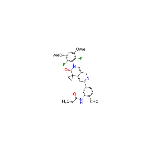 C=CC(=O)Nc1cc(C2=NCC3=CN(c4c(F)c(OC)cc(OC)c4F)C(=O)C4(CC4)C3=C2)ccc1C=O